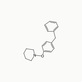 c1ccc(Cc2ccc(ON3CCCCC3)cc2)cc1